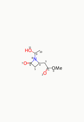 COC(=O)CC1CC(=O)N1C(C)O